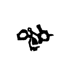 Cc1cc(C)c(C(=O)P(=O)(CC(C)C)C2CCCCC2)c(C)c1